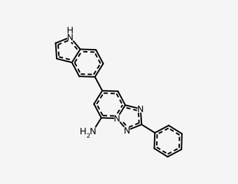 Nc1cc(-c2ccc3[nH]ccc3c2)cc2nc(-c3ccccc3)nn12